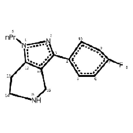 CCCn1nc(-c2ccc(F)cc2)c2c1CCNC2